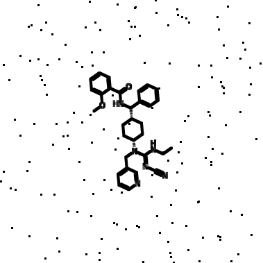 CCNC(=NC#N)N(Cc1cccnc1)[C@H]1CC[C@@H](C(NC(=O)c2ccccc2OC)c2ccccc2)CC1